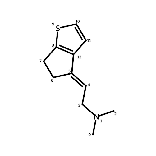 CN(C)C/C=C1\CCc2sccc21